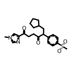 Cn1cnc(C(=O)CCC(=O)C(CC2CCCC2)c2ccc(S(C)(=O)=O)cc2)c1